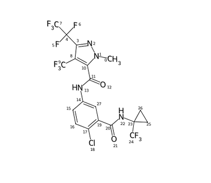 Cn1nc(C(F)(F)C(F)(F)F)c(C(F)(F)F)c1C(=O)Nc1ccc(Cl)c(C(=O)NC2(C(F)(F)F)CC2)c1